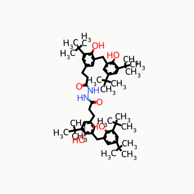 CC(C)(C)c1cc(Cc2cc(CCC(=O)NNC(=O)CCc3cc(Cc4cc(C(C)(C)C)cc(C(C)(C)C)c4O)c(O)c(C(C)(C)C)c3)cc(C(C)(C)C)c2O)c(O)c(C(C)(C)C)c1